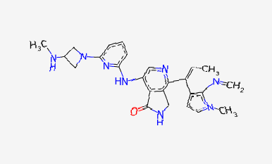 C=Nc1c(/C(=C\C)c2ncc(Nc3cccc(N4CC(NC)C4)n3)c3c2CNC3=O)ccn1C